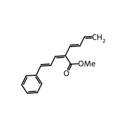 C=CC=CC(=CC=Cc1ccccc1)C(=O)OC